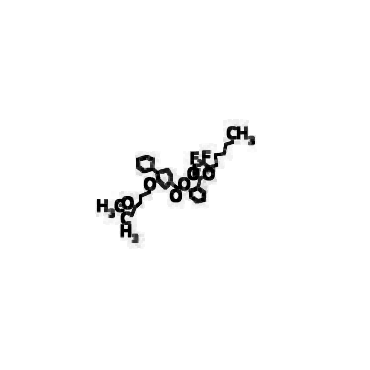 CCCCCC[C@@H](OC(=O)c1ccccc1OC(=O)c1ccc(-c2ccccc2)c(OCCCC(CC)OC)c1)C(F)(F)F